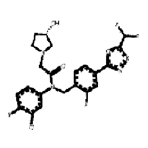 O=C(CN1CC[C@H](O)C1)N(Cc1ccc(-c2nnc(C(F)F)o2)cc1F)c1ccc(F)c(Cl)c1